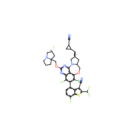 N#Cc1c(C(F)F)sc2c(F)ccc(-c3c(Cl)c4c5c(nc(OCC67CCCN6C[C@H](F)C7)nc5c3F)N3C/C(=C\C5CC5C#N)CC3CO4)c12